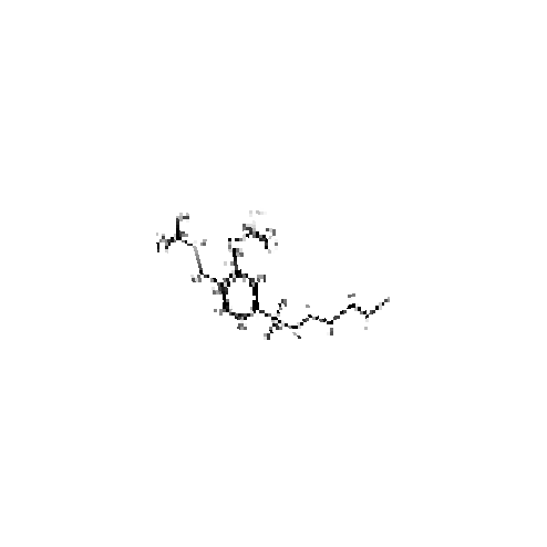 CCCCCCC(C)(C)c1ccc(CCC(C)=O)c(OC(C)=O)c1